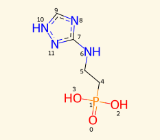 O=P(O)(O)CCNc1nc[nH]n1